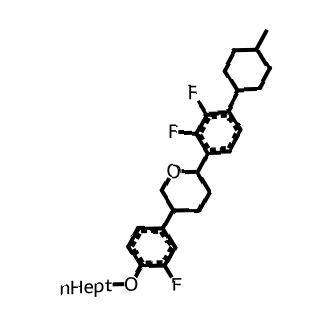 CCCCCCCOc1ccc(C2CCC(c3ccc(C4CCC(C)CC4)c(F)c3F)OC2)cc1F